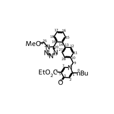 CCCCc1cc(=O)c(C(=O)OCC)cn1Cc1ccc(-c2ccccc2-c2nnnn2COC)cc1